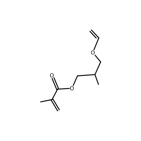 C=COCC(C)COC(=O)C(=C)C